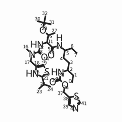 CCC(CCC(CC)NC(=O)C(NC(=O)N(C)CC1=CSC(C(C)C)N1)C(C)OC(C)(C)C)NC(=O)OCc1cncs1